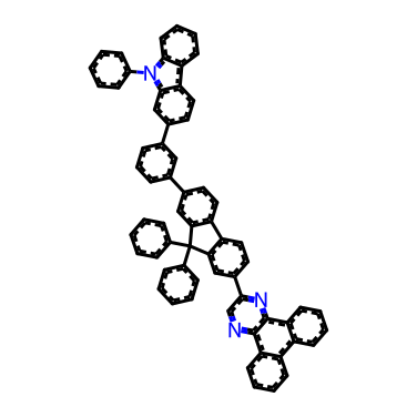 c1ccc(-n2c3ccccc3c3ccc(-c4cccc(-c5ccc6c(c5)C(c5ccccc5)(c5ccccc5)c5cc(-c7cnc8c9ccccc9c9ccccc9c8n7)ccc5-6)c4)cc32)cc1